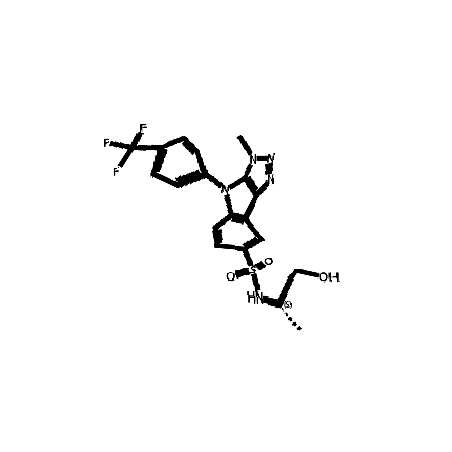 C[C@@H](CO)NS(=O)(=O)c1ccc2c(c1)c1nnn(C)c1n2-c1ccc(C(F)(F)F)cc1